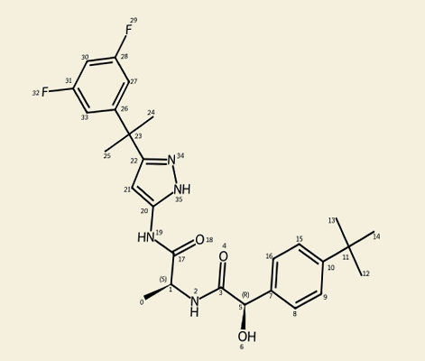 C[C@H](NC(=O)[C@H](O)c1ccc(C(C)(C)C)cc1)C(=O)Nc1cc(C(C)(C)c2cc(F)cc(F)c2)n[nH]1